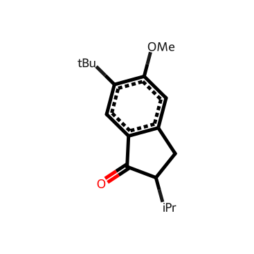 COc1cc2c(cc1C(C)(C)C)C(=O)C(C(C)C)C2